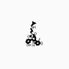 COc1ccc2[nH]c3c(c2c1F)CC1(C)C(=O)N(CCCNCC2CC2)C(=O)N1C3c1cccc(O)c1